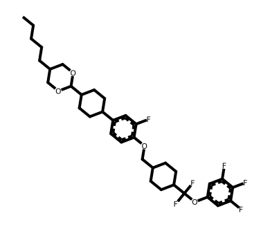 CCCCCC1COC(C2CCC(c3ccc(OCC4CCC(C(F)(F)Oc5cc(F)c(F)c(F)c5)CC4)c(F)c3)CC2)OC1